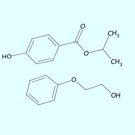 CC(C)OC(=O)c1ccc(O)cc1.OCCOc1ccccc1